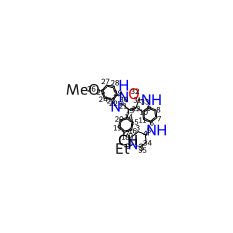 CCN1CCC(Nc2ccc3c(c2)C(=C(c2ccc(C)cc2)c2nc4cc(OC)ccc4[nH]2)C(=O)N3)CC1